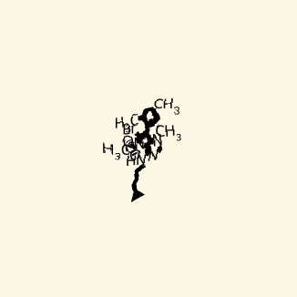 Cc1cc(C)c(-c2c(Br)n(S(C)(=O)=O)c3c(NCCCCC4CC4)ncnc23)c(C)c1